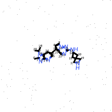 Cc1nc2ncc(-c3ccn4nc(NC5CC6(CNC6)C5)ncc34)cc2n1C(C)C